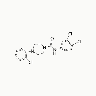 O=C(Nc1ccc(Cl)c(Cl)c1)N1CCN(c2ncccc2Cl)CC1